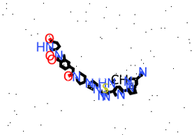 CNc1cc(-c2ccc3cc(C#N)cnn23)ncc1-c1nnc(N2CCN(C3CCN(C(=O)Cc4ccc5c(c4)CN(C4CCC(=O)NC4=O)C5=O)CC3)CC2)s1